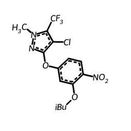 CCC(C)Oc1cc(Oc2nn(C)c(C(F)(F)F)c2Cl)ccc1[N+](=O)[O-]